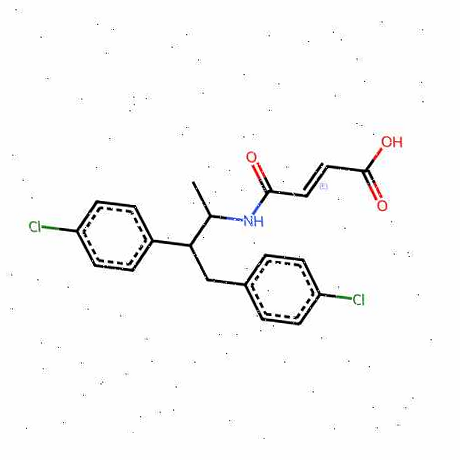 CC(NC(=O)/C=C/C(=O)O)C(Cc1ccc(Cl)cc1)c1ccc(Cl)cc1